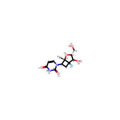 O=c1ccn(C2CC3(F)C(O)[C@@H](CO)O[C@@H]23)c(=O)[nH]1